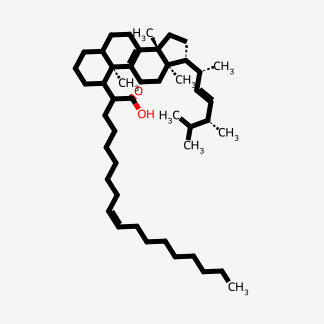 CCCCCCCC/C=C\CCCCCCC(C(=O)O)C1CCCC2CCC3=C(CC[C@]4(C)[C@@H]([C@H](C)/C=C/[C@H](C)C(C)C)CC[C@@]34C)[C@]21C